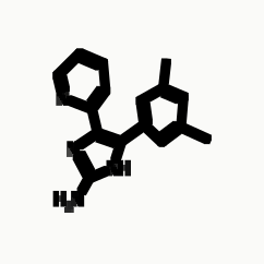 Cc1cc(C)cc(-c2[nH]c(N)nc2-c2ccccn2)c1